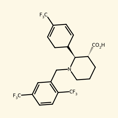 O=C(O)[C@@H]1CCCN(Cc2cc(C(F)(F)F)ccc2C(F)(F)F)[C@H]1C1C=CC(C(F)(F)F)=CC1